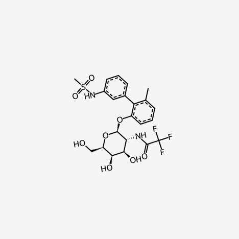 Cc1cccc(O[C@@H]2O[C@H](CO)[C@H](O)[C@H](O)[C@H]2NC(=O)C(F)(F)F)c1-c1cccc(NS(C)(=O)=O)c1